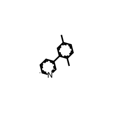 Cc1ccc(C)c(-c2cc[c]nc2)c1